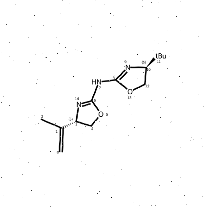 C=C(C)[C@H]1COC(NC2=N[C@@H](C(C)(C)C)CO2)=N1